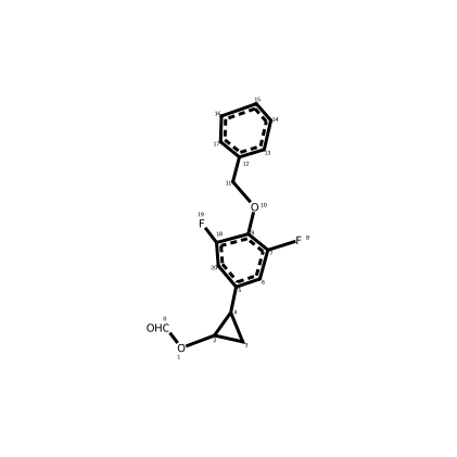 O=COC1CC1c1cc(F)c(OCc2ccccc2)c(F)c1